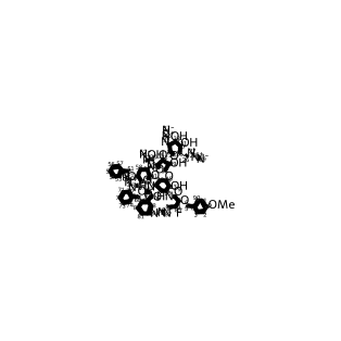 COc1ccc(CO[C@H](C(=O)N[C@H]2[C@H](O)[C@@H](O[C@@H]3O[C@H](CO)[C@@H](O[C@H]4O[C@@H](CN=[N+]=[N-])[C@@H](O)[C@H](O)[C@H]4N=[N+]=[N-])[C@H]3O)[C@H](O[C@H]3O[C@H](CN=[N+]=[N-])[C@@H](OCc4ccccc4)C[C@H]3N=[N+]=[N-])[C@@H](NC(=O)OCc3ccccc3)[C@@H]2OCc2ccccc2)[C@H](F)CN=[N+]=[N-])cc1